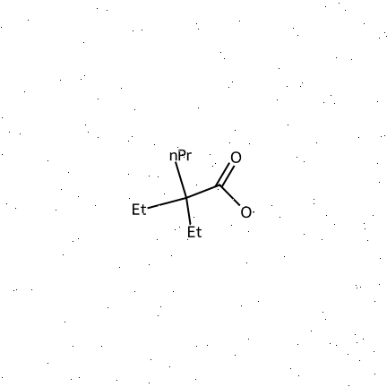 CCCC(CC)(CC)C([O])=O